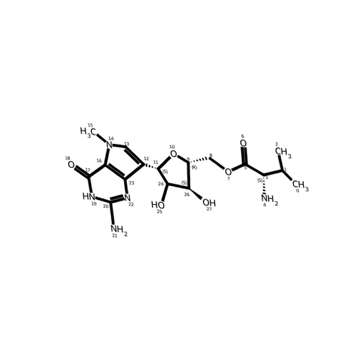 CC(C)[C@H](N)C(=O)OC[C@H]1O[C@@H](c2cn(C)c3c(=O)[nH]c(N)nc23)C(O)[C@@H]1O